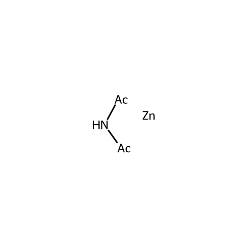 CC(=O)NC(C)=O.[Zn]